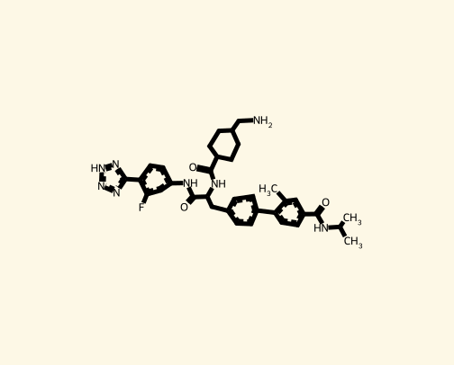 Cc1cc(C(=O)NC(C)C)ccc1-c1ccc(CC(NC(=O)C2CCC(CN)CC2)C(=O)Nc2ccc(-c3nn[nH]n3)c(F)c2)cc1